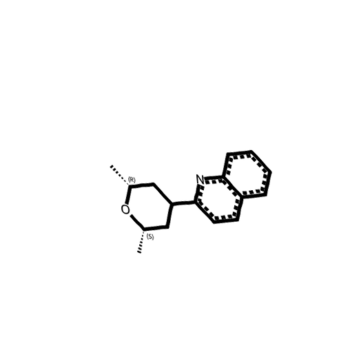 C[C@@H]1CC(c2ccc3ccccc3n2)C[C@H](C)O1